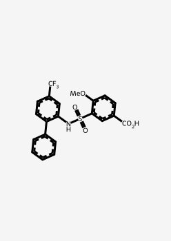 COc1ccc(C(=O)O)cc1S(=O)(=O)Nc1cc(C(F)(F)F)ccc1-c1ccccc1